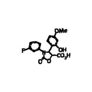 COc1ccc(C2C(C(=O)O)OC(=O)N2c2cccc(F)c2)c(O)c1